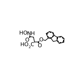 O=C(CC(C(=O)O)C(=O)OCc1cccc2c1Cc1ccccc1-2)NO